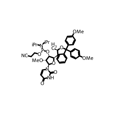 COc1ccc(C(O[C@H](C)C[C@H]2O[C@@H](n3ccc(=O)[nH]c3=O)[C@H](OC)[C@@H]2OP(OCCC#N)N(C(C)C)C(C)C)(c2ccccc2)c2ccc(OC)cc2)cc1